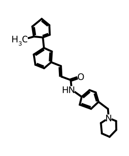 Cc1ccccc1-c1cccc(C=CC(=O)Nc2ccc(CN3CCCCC3)cc2)c1